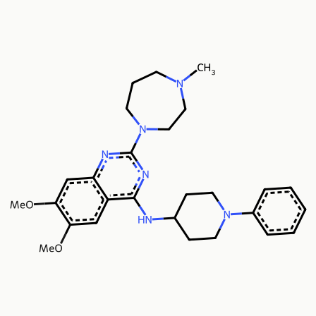 COc1cc2nc(N3CCCN(C)CC3)nc(NC3CCN(c4ccccc4)CC3)c2cc1OC